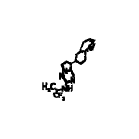 C[C@@H](Nc1ncc2c(-c3ccc4ncccc4c3)ccn2n1)C(F)(F)F